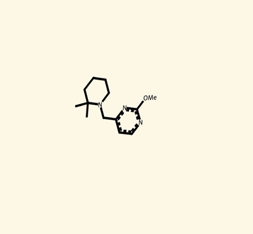 COc1nccc(CN2CCCCC2(C)C)n1